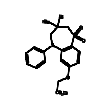 CCCCC1(CC)CN(c2ccccc2)c2cc(OCC(=O)OCC)ccc2S(=O)(=O)C1